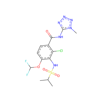 CC(C)S(=O)(=O)Nc1c(OC(F)F)ccc(C(=O)Nc2nnnn2C)c1Cl